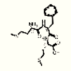 CSCC[C@H](NC(=O)[C@H](Cc1ccccc1)NC(=O)[C@@H](N)CCSC)C(=O)O